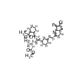 COC(=O)CC1(CS[C@H](CCc2ccccc2C(C)(C)O)c2cccc(C=Cc3ccc4sc(Cl)c(F)c4n3)c2)CC1